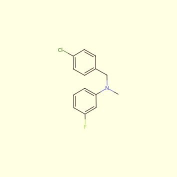 CN(Cc1ccc(Cl)cc1)c1cccc(F)c1